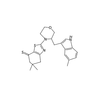 Cc1ccc2[nH]cc(CC3COCCN3c3nc4c(s3)C(=S)CC(C)(C)C4)c2c1